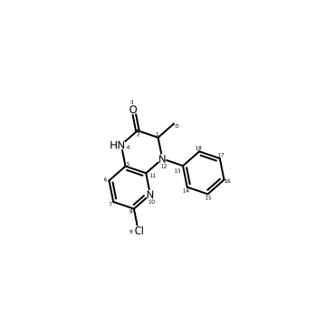 CC1C(=O)Nc2ccc(Cl)nc2N1c1ccccc1